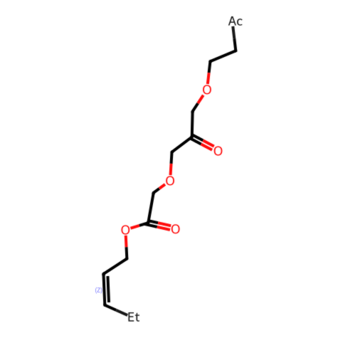 CC/C=C\COC(=O)COCC(=O)COCCC(C)=O